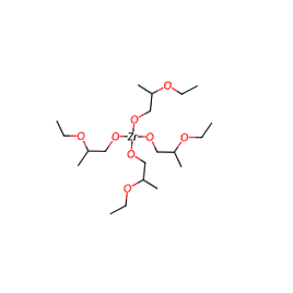 CCOC(C)C[O][Zr]([O]CC(C)OCC)([O]CC(C)OCC)[O]CC(C)OCC